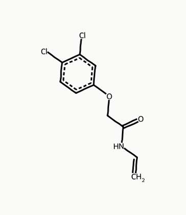 C=CNC(=O)COc1ccc(Cl)c(Cl)c1